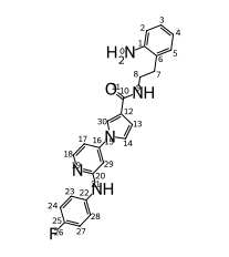 Nc1ccccc1CCNC(=O)c1ccn(-c2ccnc(Nc3ccc(F)cc3)c2)c1